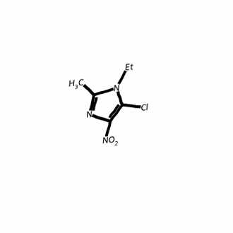 CCn1c(C)nc([N+](=O)[O-])c1Cl